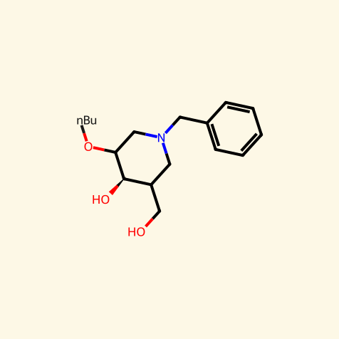 CCCCOC1CN(Cc2ccccc2)CC(CO)[C@H]1O